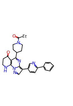 CCC(=O)N1CCC(c2nc3c(-c4ccc(-c5ccccc5)nc4)cnn3c3c2C(=O)CCN3)CC1